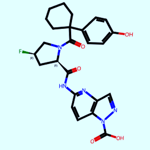 O=C(Nc1ccc2c(cnn2C(=O)O)n1)[C@H]1C[C@@H](F)CN1C(=O)C1(c2ccc(O)cc2)CCCCC1